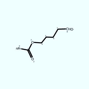 CCCC(=O)OCCCC[C]=O